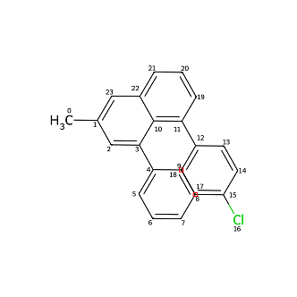 Cc1cc(-c2ccccc2)c2c(-c3ccc(Cl)cc3)cccc2c1